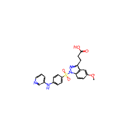 COc1ccc2c(c1)c(CCC(=O)O)nn2S(=O)(=O)c1ccc(Nc2cccnc2)cc1